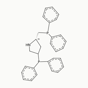 c1ccc(P(C[C@@H]2CC(P(c3ccccc3)c3ccccc3)CN2)c2ccccc2)cc1